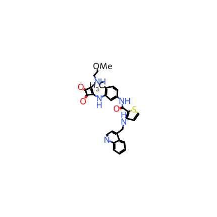 COCCNc1c(Nc2cc(NC(=O)c3sccc3NCc3ccnc4ccccc34)ccc2C)c(=O)c1=O